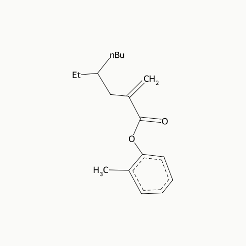 C=C(CC(CC)CCCC)C(=O)Oc1ccccc1C